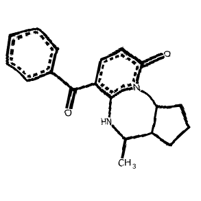 CC1Nc2c(C(=O)c3ccccc3)ccc(=O)n2C2CCCC12